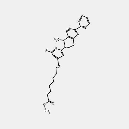 COC(=O)CCCCCCCOc1cc(F)nc(N2CCc3nc(-c4ncccn4)ncc3C2C)c1